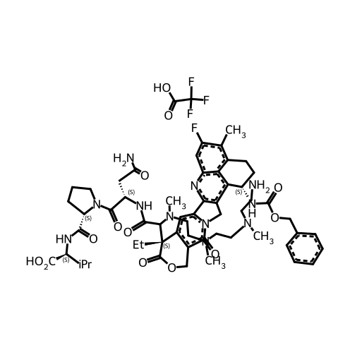 CC[C@]1(C(C(=O)N[C@@H](CC(N)=O)C(=O)N2CCC[C@H]2C(=O)N[C@H](C(=O)O)C(C)C)N(C)CCN(C)CCN(C)CCN)C(=O)OCc2c1cc1n(c2=O)Cc2c-1nc1cc(F)c(C)c3c1c2[C@@H](NC(=O)OCc1ccccc1)CC3.O=C(O)C(F)(F)F